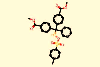 COC(=O)c1ccc(C(POS(=O)(=O)c2ccc(C)cc2)(c2ccccc2)c2ccc(C(=O)OC)cc2)cc1